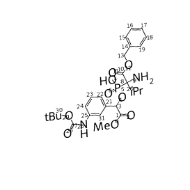 COC(=O)C(OP(=O)(O)C(N)(C(=O)OCc1ccccc1)C(C)C)c1cccc(NC(=O)OC(C)(C)C)c1